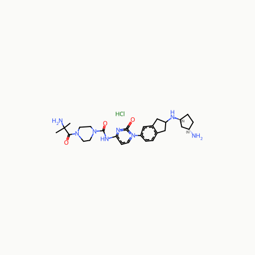 CC(C)(N)C(=O)N1CCN(C(=O)Nc2ccn(-c3ccc4c(c3)CC(N[C@H]3CC[C@H](N)C3)C4)c(=O)n2)CC1.Cl